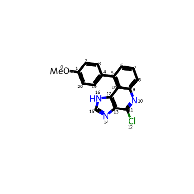 COc1ccc(-c2cccc3nc(Cl)c4nc[nH]c4c23)cc1